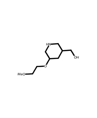 COCCOC1CNCC(CO)C1